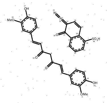 COc1cc(C=CC(=O)CC(=O)C=Cc2ccc(O)c(OC)c2)ccc1O.[N-]=[N+]=C1C=Cc2c(cccc2S(=O)(=O)O)C1=O